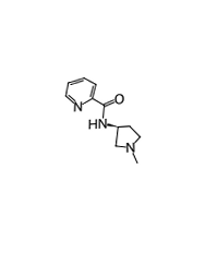 CN1CC[C@H](NC(=O)c2ccccn2)C1